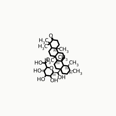 C[C@@H]1CC[C@]2(C(O)[C@@H]3OC(C(=O)O)[C@@H](O)C(O)C3O)CC[C@]3(C)C(=CCC4[C@@]5(C)CCC(=O)C(C)(C)C5CC[C@]43C)C2[C@H]1C